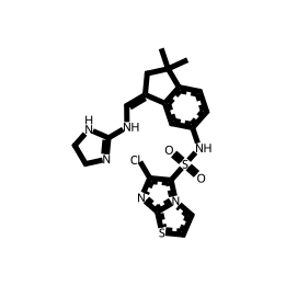 CC1(C)C/C(=C/NC2=NCCN2)c2cc(NS(=O)(=O)c3c(Cl)nc4sccn34)ccc21